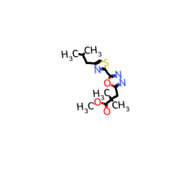 COC(=O)C(C)(C)Cc1nnc(-c2nc(CC(C)C)cs2)o1